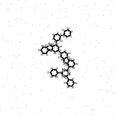 c1ccc(-c2cccc(-c3cc(-c4ccc5c(c4)sc4c(-c6nc(-c7ccccc7)nc(-c7ccccc7)n6)cccc45)cc4c3sc3ccccc34)c2)cc1